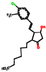 O=C(O)CCCCCCC1C(=O)CC(O)C1C=Cc1ccc(Cl)c(C(F)(F)F)c1